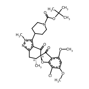 COc1cc(OC)c2c(c1Cl)O[C@]1(C2=O)C(=O)c2c(nn(C)c2C2CCN(C(=O)OC(C)(C)C)CC2)C[C@H]1C